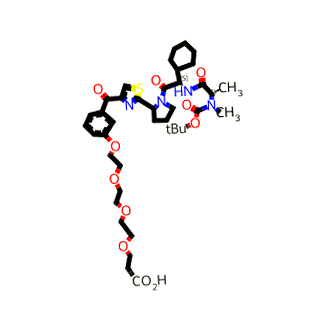 C[C@@H](C(=O)N[C@H](C(=O)N1CCCC1c1nc(C(=O)c2cccc(OCCOCCOCCOCCC(=O)O)c2)cs1)C1CCCCC1)N(C)C(=O)OC(C)(C)C